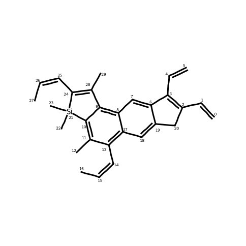 C=CC1=C(C=C)c2cc3c4c(c(C)c(/C=C\C)c3cc2C1)[Si](C)(C)C(/C=C\C)=C4C